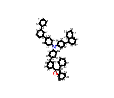 c1ccc(-c2cccc(-c3ccc(N(c4ccc(-c5cccc(-c6oc7ccccc7c6-c6ccccc6)c5)cc4)c4ccc(-c5cccc6ccccc56)cc4)cc3)c2)cc1